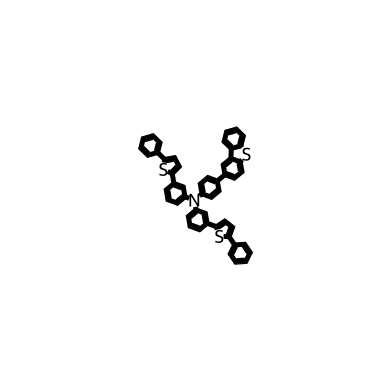 c1ccc(-c2ccc(-c3cccc(N(c4ccc(-c5ccc6sc7ccccc7c6c5)cc4)c4cccc(-c5ccc(-c6ccccc6)s5)c4)c3)s2)cc1